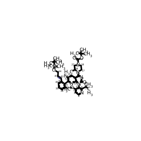 COc1ccnc(C(C)C)c1-n1c(=O)nc(N2CCN(C(=O)OC(C)(C)C)CC2C)c2cc(F)c(-c3c(F)cccc3/C=C/CO[Si](C)(C)C(C)(C)C)nc21